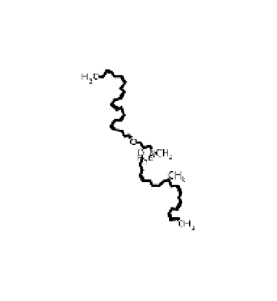 CC/C=C\C/C=C\C/C=C\C/C=C\C/C=C\C/C=C\CCCOCC(CN(C)C)OCCC/C=C\C/C=C\CC(C)C/C=C\C/C=C\C/C=C\CC